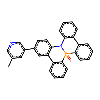 Cc1cncc(-c2ccc3c(c2)-c2ccccc2P2(=O)c4ccccc4-c4ccccc4N32)c1